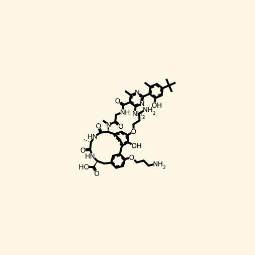 Cc1cc(C(C)(C)C)cc(O)c1-c1nc(C)c(C(=O)NCC(=O)N(C)[C@@H]2C(=O)N[C@@H](C)C(=O)N[C@H](C(=O)O)Cc3ccc(OCCCN)c(c3)-c3cc2cc(OCCCN)c3O)c(N)n1